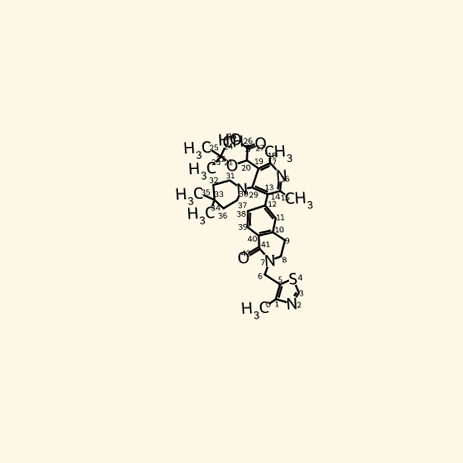 Cc1ncsc1CN1CCc2cc(-c3c(C)nc(C)c(C(OC(C)(C)C)C(=O)O)c3N3CCC(C)(C)CC3)ccc2C1=O